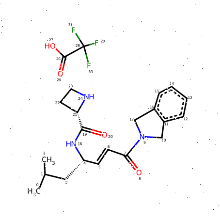 CC(C)C[C@@H](/C=C/C(=O)N1Cc2ccccc2C1)NC(=O)[C@@H]1CCN1.O=C(O)C(F)(F)F